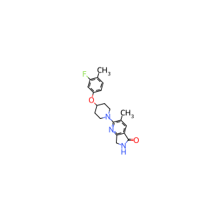 Cc1ccc(OC2CCN(c3nc4c(cc3C)C(=O)NC4)CC2)cc1F